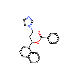 O=C(OC(CCn1ccnc1)c1cccc2ccccc12)c1ccccc1